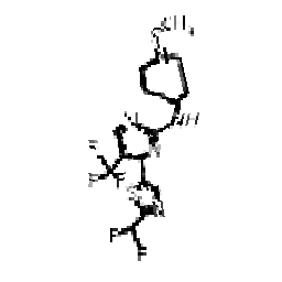 CSN1CCC(Nc2ncc(C(F)(F)F)c(-c3cnc(C(F)F)s3)n2)CC1